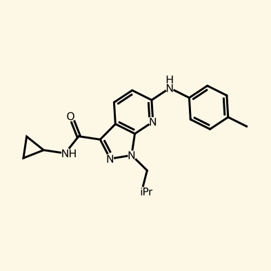 Cc1ccc(Nc2ccc3c(C(=O)NC4CC4)nn(CC(C)C)c3n2)cc1